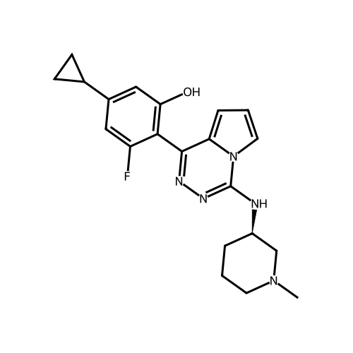 CN1CCC[C@@H](Nc2nnc(-c3c(O)cc(C4CC4)cc3F)c3cccn23)C1